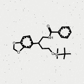 CC(C)(C)[Si](C)(C)OCCC(CNC(=O)c1ccccc1)c1ccc2c(c1)OCO2